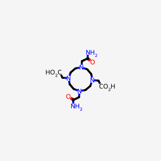 NC(=O)CN1CCN(CC(=O)O)CCN(CC(N)=O)CCN(CC(=O)O)CC1